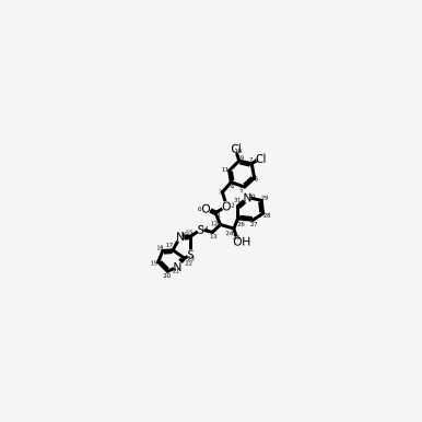 O=C(OCc1ccc(Cl)c(Cl)c1)C(CSc1nc2cccnc2s1)C(O)c1cccnc1